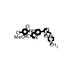 COc1cc(Nc2c(C#N)cnc3cc(-c4cnc(CN5CCN(C)CC5)n4C)ccc23)c(Cl)cc1Cl